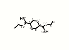 CCSC(S)C1CSC(C(S)SCC)CS1